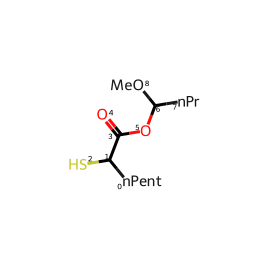 CCCCCC(S)C(=O)OC(CCC)OC